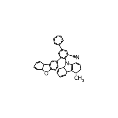 CC1CC=CC2=C1C1C=CC=CC1N2c1c(C#N)cc(-c2ccccc2)cc1-c1ccc2c(c1)C1C=CC=CC1O2